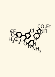 CCOC(=O)C1CC2(CCN(c3cc(O[C@H](c4ccc(Cl)cc4-c4ccc(OC(F)(F)F)c(C)c4)C(F)(F)F)nc(N)n3)CC2)CN1